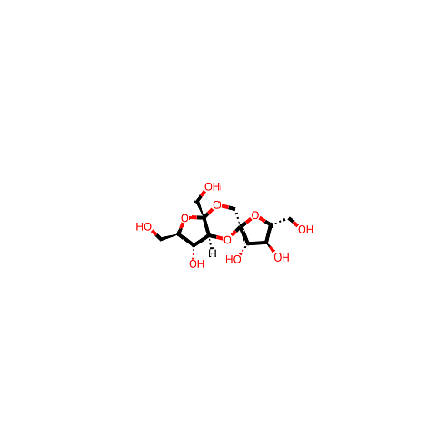 OC[C@H]1O[C@@]2(CO[C@@]3(CO)O[C@H](CO)[C@@H](O)[C@@H]3O2)[C@@H](O)[C@@H]1O